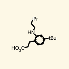 CC(C)CCNc1cc(C(C)(C)C)ccc1CCC(=O)O